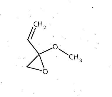 C=CC1(OC)CO1